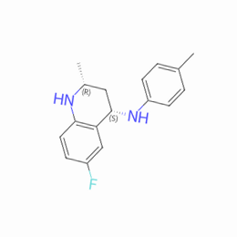 Cc1ccc(N[C@H]2C[C@@H](C)Nc3ccc(F)cc32)cc1